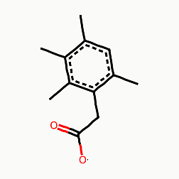 Cc1cc(C)c(CC([O])=O)c(C)c1C